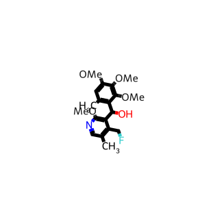 COc1cc(C)c(C(O)c2c(OC)ncc(C)c2CF)c(OC)c1OC